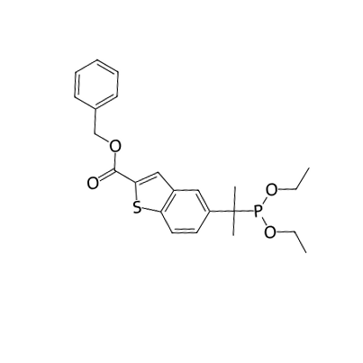 CCOP(OCC)C(C)(C)c1ccc2sc(C(=O)OCc3ccccc3)cc2c1